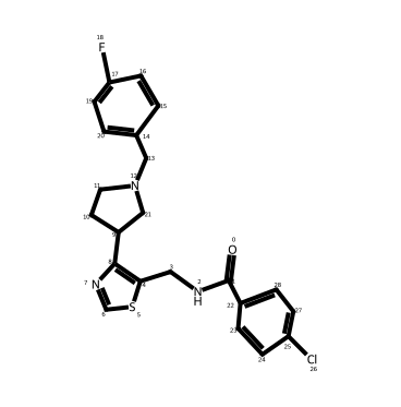 O=C(NCc1scnc1C1CCN(Cc2ccc(F)cc2)C1)c1ccc(Cl)cc1